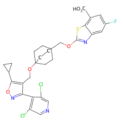 O=C(O)c1cc(F)cc2nc(OCC34CCC(OCc5c(-c6c(Cl)cncc6Cl)noc5C5CC5)(CC3)CC4)sc12